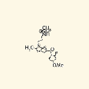 COc1ccc(C(=O)c2cc3cc(C)n(CCCNS(C)(=O)=O)c3s2)c(F)c1